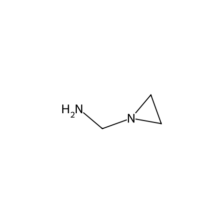 NCN1CC1